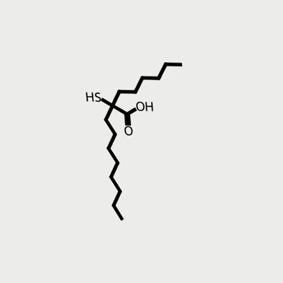 CCCCCCCCC(S)(CCCCCC)C(=O)O